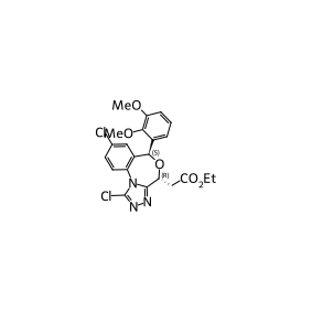 CCOC(=O)C[C@H]1O[C@H](c2cccc(OC)c2OC)c2cc(Cl)ccc2-n2c(Cl)nnc21